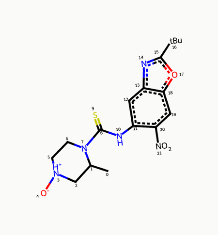 CC1C[NH+]([O-])CCN1C(=S)Nc1cc2nc(C(C)(C)C)oc2cc1[N+](=O)[O-]